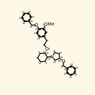 COc1cc(CCO[C@H]2CCCCC2N2CC[C@@H](OCc3ccccc3)C2)ccc1OCc1ccccc1